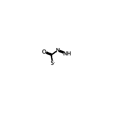 N=NC(=O)[S]